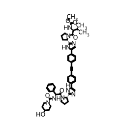 COC(=O)N[C@H](C(=O)N1CCC[C@H]1c1ncc(-c2ccc(C#Cc3ccc(-c4cnc([C@@H]5CCCN5C(=O)[C@H](NC(=O)N5CCC(O)CC5)c5ccccc5)[nH]4)cc3)cc2)[nH]1)C(C)C